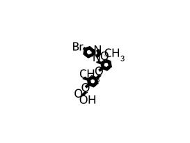 CCc1cc(COc2cccc(OC)c2Cn2cnc3cc(Br)ccc32)ccc1OCC(=O)O